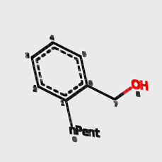 CCCCCc1[c]cccc1CO